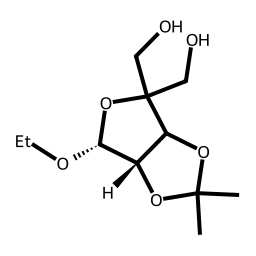 CCO[C@@H]1OC(CO)(CO)C2OC(C)(C)O[C@@H]21